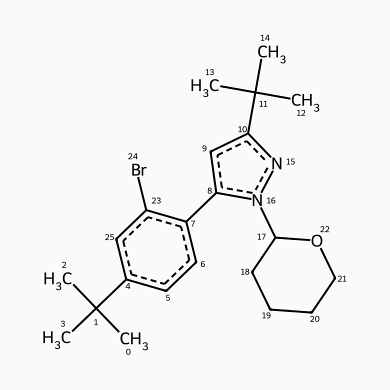 CC(C)(C)c1ccc(-c2cc(C(C)(C)C)nn2C2CCCCO2)c(Br)c1